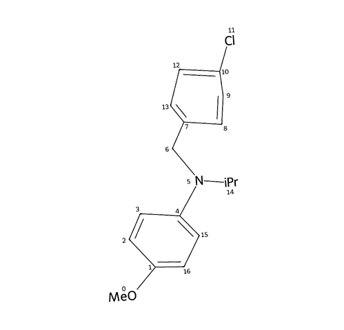 COc1ccc(N(Cc2ccc(Cl)cc2)C(C)C)cc1